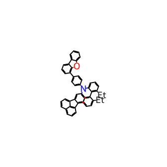 CCc1ccccc1-c1c(CC)cccc1N(c1ccc(-c2cccc3c2oc2ccccc23)cc1)c1ccc2c(c1)-c1cccc3cccc-2c13